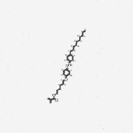 C=C(C)C(=O)OCCCCCCOc1ccc(N=Nc2ccc(CCCCCCCCCC)cc2)cc1